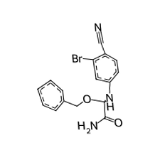 N#Cc1ccc(N[C@H](OCc2ccccc2)C(N)=O)cc1Br